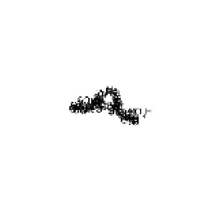 COc1cc(-c2ccc(-n3nc(-c4ccc(C(=O)N(CCS(=O)(=O)[O-])CCS(=O)(=O)O)cc4)n[n+]3-c3nc4ccccc4s3)c(OC)c2)ccc1-n1nc(-c2ccc(C(=O)N(CCS(=O)(=O)[O-])CCS(=O)(=O)O)cc2)n[n+]1-c1nc2ccccc2s1.[Na].[Na]